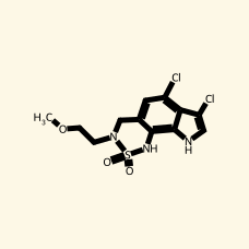 COCCN1Cc2cc(Cl)c3c(Cl)c[nH]c3c2NS1(=O)=O